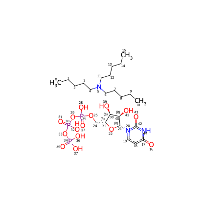 CCCCCN(CCCCC)CCCCC.O=c1ccn([C@@H]2O[C@H](COP(=O)(O)OP(=O)(O)OP(=O)(O)O)[C@@H](O)[C@H]2O)c(=O)[nH]1